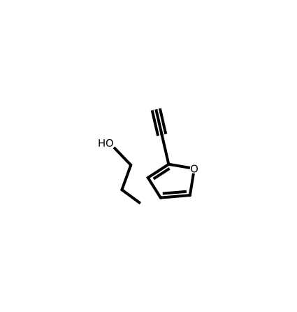 C#Cc1ccco1.CCCO